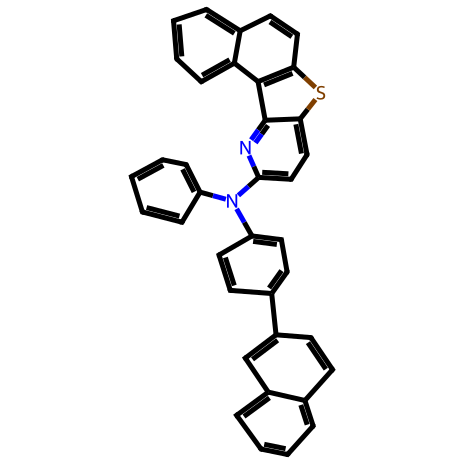 c1ccc(N(c2ccc(-c3ccc4ccccc4c3)cc2)c2ccc3sc4ccc5ccccc5c4c3n2)cc1